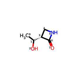 CC(O)[C@@H]1CNC1=O